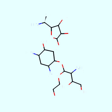 C[C@H](N)C1OC(O[C@H]2C(O)C(N)CC(N)C2OC(OCCO)C(N)C(O)CO)C(O)C1O